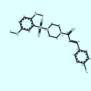 COc1ccc(OC)c(S(=O)(=O)N2CCN(C(=O)/C=C/c3ccc(F)cc3)CC2)c1